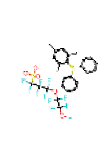 Cc1cc(C)c([S+](c2ccccc2)c2ccccc2)c(C)c1.O=S(=O)([O-])C(F)(F)C(F)(F)C(F)(F)OC(F)(F)C(F)(F)OF